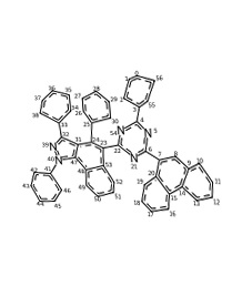 c1ccc(-c2nc(-c3cc4ccccc4c4ccccc34)nc(-c3c(-c4ccccc4)c4c(-c5ccccc5)nn(-c5ccccc5)c4c4ccccc34)n2)cc1